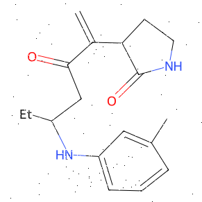 C=C(C(=O)CC(CC)Nc1cccc(C)c1)C1CCNC1=O